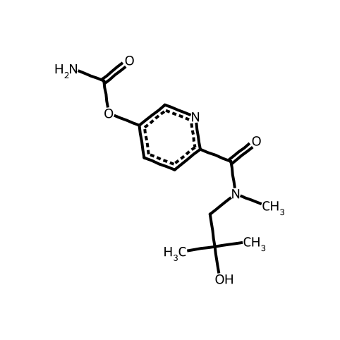 CN(CC(C)(C)O)C(=O)c1ccc(OC(N)=O)cn1